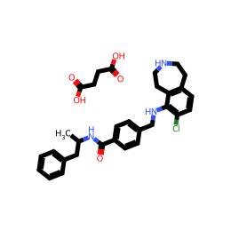 CC(Cc1ccccc1)NC(=O)c1ccc(CNc2c(Cl)ccc3c2CCNCC3)cc1.O=C(O)CCC(=O)O